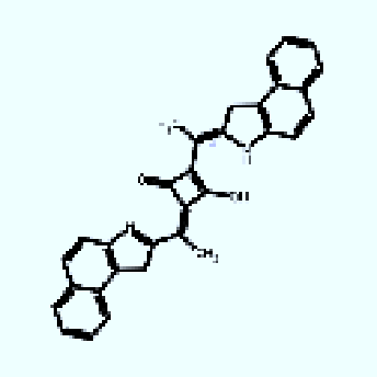 C/C(C1=C(O)/C(=C(\C)C2=Nc3ccc4ccccc4c3C2)C1=O)=C1\Cc2c(ccc3ccccc23)N1